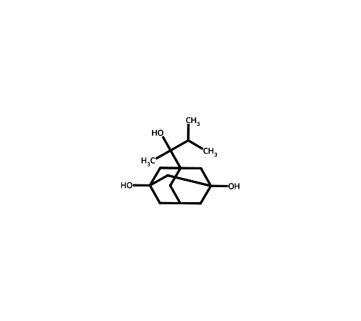 CC(C)C(C)(O)C12CC3CC(O)(CC(O)(C3)C1)C2